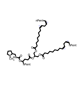 CCCCC/C=C\C/C=C\CCCCCCCC(=O)OCC(COC(=O)CCCCCCC/C=C\C/C=C\CCCCC)OC(=O)CCC(CCCCC)OC(=O)NCC1CCCN1C